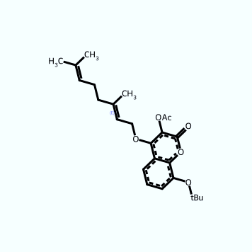 CC(=O)Oc1c(OC/C=C(\C)CCC=C(C)C)c2cccc(OC(C)(C)C)c2oc1=O